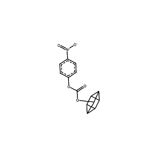 O=C(Oc1ccc([N+](=O)[O-])cc1)OC1C2C3C2C2C1C32